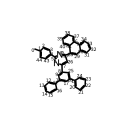 Cc1ccc(-c2nc(-c3cc(-c4ccccc4)cc(-c4ccccc4)c3)cc(-c3cc4ccccc4c4ccccc34)n2)cc1